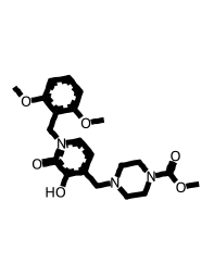 COC(=O)N1CCN(Cc2ccn(Cc3c(OC)cccc3OC)c(=O)c2O)CC1